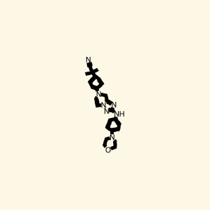 CC(C)(C#N)c1ccc(N2C=Cn3nc(Nc4ccc(N5CCOCC5)cc4)nc3C2)cc1